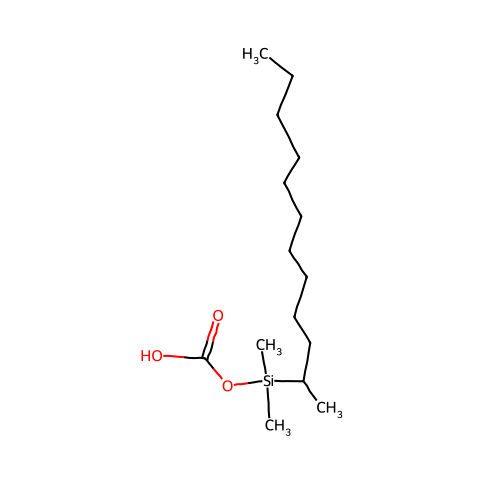 CCCCCCCCCCC(C)[Si](C)(C)OC(=O)O